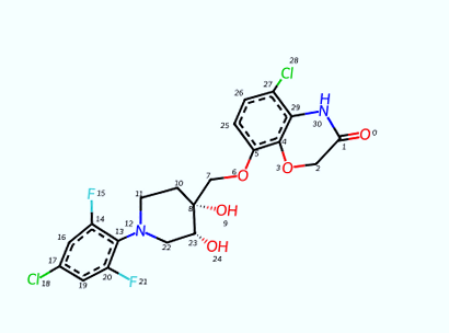 O=C1COc2c(OC[C@]3(O)CCN(c4c(F)cc(Cl)cc4F)C[C@H]3O)ccc(Cl)c2N1